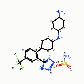 NC1CCC(NC2CCC(c3ccc(C(F)(F)F)cc3-c3nnn[nH]3)CC2)CC1.N[SH](=O)=O